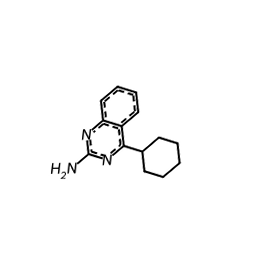 Nc1nc(C2CCCCC2)c2ccccc2n1